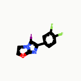 Fc1ccc(-c2nc3occn3c2I)cc1F